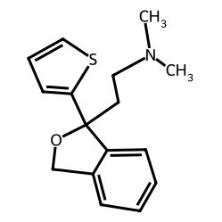 CN(C)CCC1(c2cccs2)OCc2ccccc21